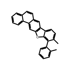 Cc1ccccc1-c1c(C)ccc2c1oc1cc3c(ccc4ccccc43)cc12